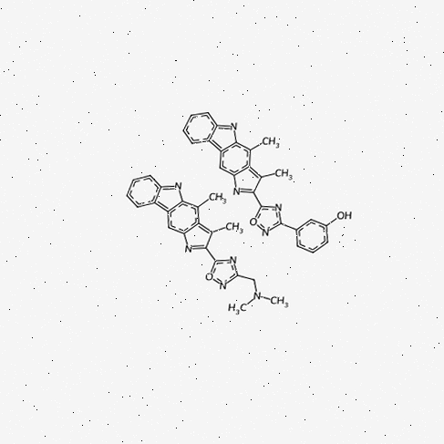 CC1=c2c(cc3c(c2C)N=c2ccccc2=3)N=C1c1nc(-c2cccc(O)c2)no1.CC1=c2c(cc3c(c2C)N=c2ccccc2=3)N=C1c1nc(CN(C)C)no1